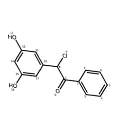 O=C(c1ccccc1)C(Cl)c1cc(O)cc(O)c1